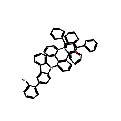 N#Cc1ccccc1-c1ccc2c(c1)c1ccccc1n2-c1cccc(-c2nc(-c3ccccc3)cc(-c3ccccc3)n2)c1-c1ccccc1-n1c2ccccc2c2ccccc21